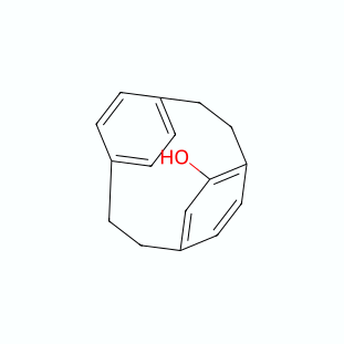 Oc1cc2ccc1CCc1ccc(cc1)CC2